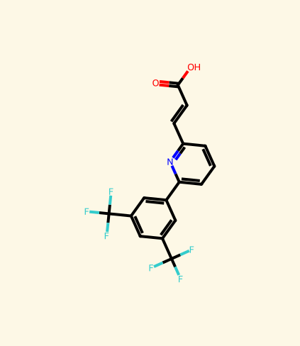 O=C(O)C=Cc1cccc(-c2cc(C(F)(F)F)cc(C(F)(F)F)c2)n1